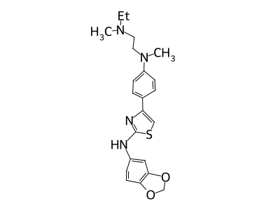 CCN(C)CCN(C)c1ccc(-c2csc(Nc3ccc4c(c3)OCO4)n2)cc1